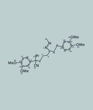 CN=NC(CCCC(C#N)(c1ccc(OC)c(OC)c1)C(C)C)CCc1ccc(OC)c(OC)c1